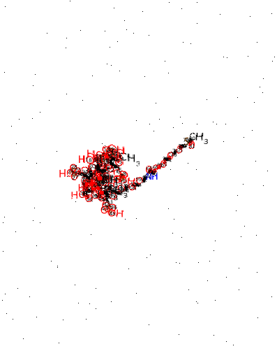 CO[C@H]1O[C@H](COS(=O)(=O)O)[C@@H](O[C@@H]2O[C@@H](C(=O)O)[C@@H](O[C@H]3O[C@H](COS(=O)(=O)O)[C@@H](O[C@@H]4O[C@H](C(=O)O)[C@@H](O[C@H]5O[C@H](COS(=O)(=O)O)[C@@H](OCCOCCOCCOCCNC(=O)COCCOCCOCCOCCSC(C)=O)[C@H](OC)[C@H]5OC)[C@H](OC)[C@H]4OC)[C@H](OS(=O)(=O)O)[C@H]3OS(=O)(=O)O)[C@H](OC)[C@H]2OC)[C@H](OS(=O)(=O)O)[C@H]1OS(=O)(=O)O